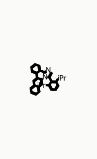 CC(C)c1cccc(C(C)C)c1-c1cnc2c3ccccc3c3cc4ccccc4cc3n12